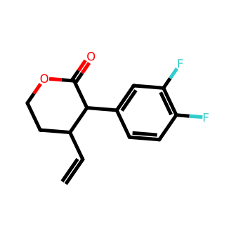 C=CC1CCOC(=O)C1c1ccc(F)c(F)c1